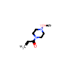 C=CC(=O)N1CCN(BC(C)C)CC1